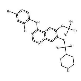 [2H]C([2H])([2H])Oc1cc2c(Nc3ccc(Br)cc3F)ncnc2cc1OC([2H])([2H])C1CCNCC1